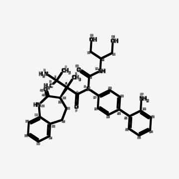 CC(C)(N)C(C)(C(=O)N(C(=O)NC(CO)CO)c1ccc(-c2ccccc2N)cc1)[C@H]1CCc2ccccc2NC1=O